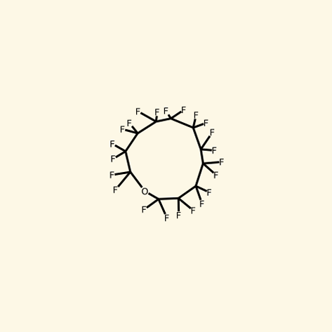 FC1(F)OC(F)(F)C(F)(F)C(F)(F)C(F)(F)C(F)(F)C(F)(F)C(F)(F)C(F)(F)C(F)(F)C1(F)F